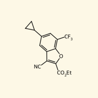 CCOC(=O)c1oc2c(C(F)(F)F)cc(C3CC3)cc2c1C#N